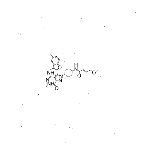 CN/N=C(/N)c1c(C=O)nn(C2CCC(NC(=O)/C=C/COC)CC2)c1-c1oc2ccc(C)cc2c1C